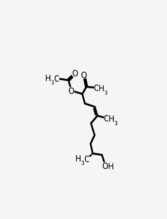 CC(=O)OC(CC=C(C)CCC[C@H](C)CO)C(C)=O